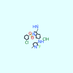 CNCc1cn(S(=O)(=O)c2cccc(Cl)c2)c2cc(Nc3ccc(C)nc3F)ccc12.Cl